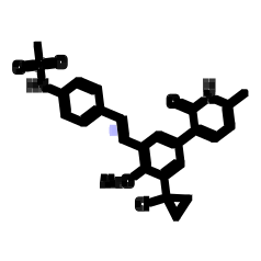 COc1c(/C=C/c2ccc(NS(C)(=O)=O)cc2)cc(-c2ccc(C)[nH]c2=O)cc1C1(Cl)CC1